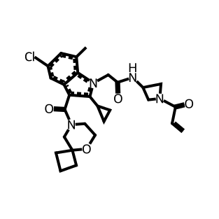 C=CC(=O)N1CC(NC(=O)Cn2c(C3CC3)c(C(=O)N3CCOC4(CCC4)C3)c3cc(Cl)cc(C)c32)C1